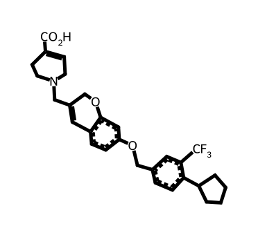 O=C(O)C1=CCN(CC2=Cc3ccc(OCc4ccc(C5CCCC5)c(C(F)(F)F)c4)cc3OC2)CC1